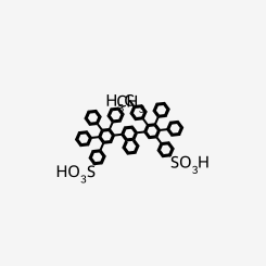 Cc1ccc(-c2c(-c3ccc(-c4cc(-c5ccc(S(=O)(=O)O)cc5)c(-c5ccccc5)c(-c5ccccc5)c4-c4ccc(C)cc4)c4ccccc34)cc(-c3ccc(S(=O)(=O)O)cc3)c(-c3ccccc3)c2-c2ccccc2)cc1